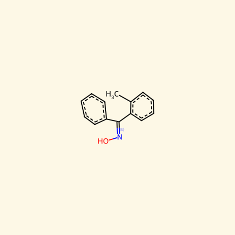 Cc1ccccc1/C(=N/O)c1ccccc1